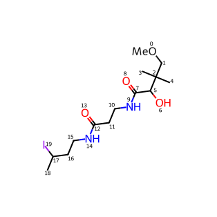 COCC(C)(C)C(O)C(=O)NCCC(=O)NCCC(C)I